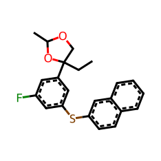 CCC1(c2cc(F)cc(Sc3ccc4ccccc4c3)c2)COC(C)O1